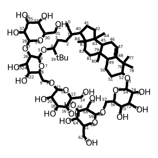 CC(CCC(OC1OC(COC2OC(CO)C(O)C(O)C2O)C(O)C(O)C1OC1OC(CO)C(O)C(O)C1O)C(C)(C)C)C1CCC2(C)C3CC=C4C(CCC(OC5OC(COC6OC(CO)C(O)C(O)C6O)C(O)C(O)C5O)C4(C)C)C3(C)CCC12C